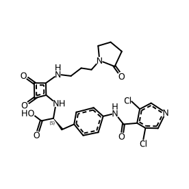 O=C(Nc1ccc(C[C@H](Nc2c(NCCCN3CCCC3=O)c(=O)c2=O)C(=O)O)cc1)c1c(Cl)cncc1Cl